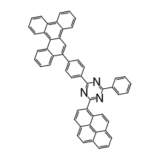 c1ccc(-c2nc(-c3ccc(-c4cc5c6ccccc6c6ccccc6c5c5ccccc45)cc3)nc(-c3ccc4ccc5cccc6ccc3c4c56)n2)cc1